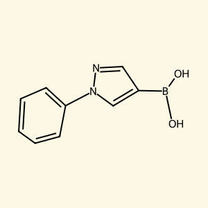 OB(O)c1cnn(-c2ccccc2)c1